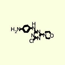 Nc1ccc(Nc2nc(Cl)nc(N3CCOCC3)n2)cc1